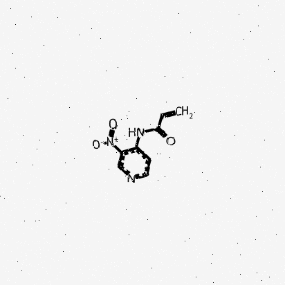 C=CC(=O)Nc1ccncc1[N+](=O)[O-]